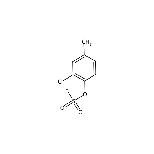 Cc1ccc(OS(=O)(=O)F)c(Cl)c1